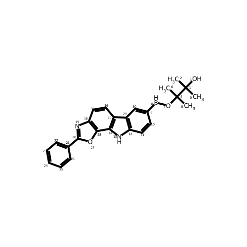 CC(C)(O)C(C)(C)OBc1ccc2[nH]c3c(ccc4nc(-c5ccccc5)oc43)c2c1